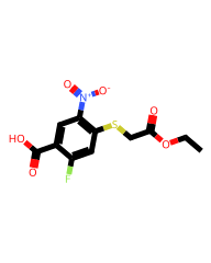 CCOC(=O)CSc1cc(F)c(C(=O)O)cc1[N+](=O)[O-]